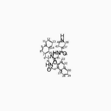 CC(=O)NC[C@@H](Cc1ccc2ccccc2c1)N(C)C(=O)[C@@H](Cc1ccc2ccccc2c1)NC(=O)C1CCNCC1